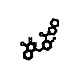 O=C(c1cc(Cc2n[nH]c(=O)c3ccccc23)ccc1F)N1CCC2(CCCC2)C1